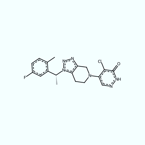 Cc1ccc(F)cc1[C@@H](C)n1nnc2c1CCN(c1cn[nH]c(=O)c1Cl)C2